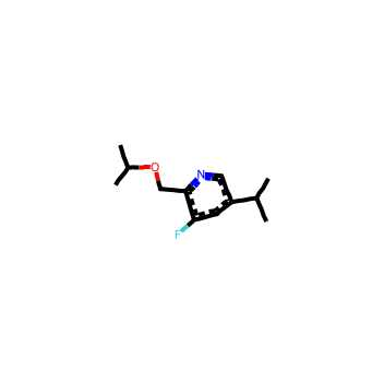 CC(C)OCc1ncc(C(C)C)cc1F